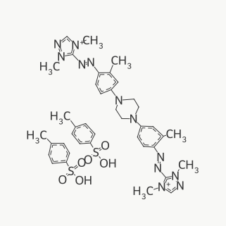 Cc1cc(N2CCN(c3ccc(N=Nc4n(C)nc[n+]4C)c(C)c3)CC2)ccc1N=Nc1n(C)nc[n+]1C.Cc1ccc(S(=O)(=O)O)cc1.Cc1ccc(S(=O)(=O)O)cc1